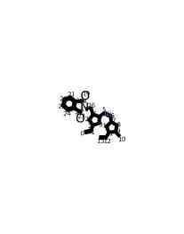 C=CC1CC(/C=C\C2CC(C)C(C=C)C2)C(CN2C(=O)c3ccccc3C2=O)C1